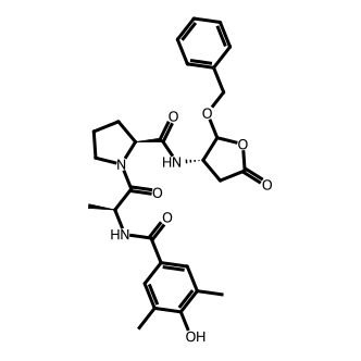 Cc1cc(C(=O)N[C@@H](C)C(=O)N2CCC[C@H]2C(=O)N[C@H]2CC(=O)OC2OCc2ccccc2)cc(C)c1O